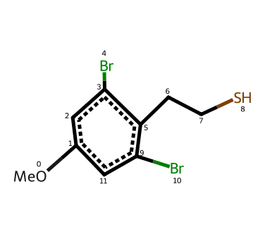 COc1cc(Br)c(CCS)c(Br)c1